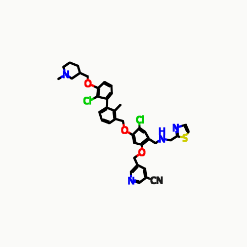 Cc1c(COc2cc(OCc3cncc(C#N)c3)c(CNCc3nccs3)cc2Cl)cccc1-c1cccc(OCC2CCCN(C)C2)c1Cl